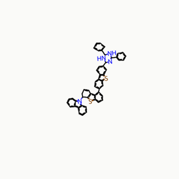 C1=Cc2c(sc3cccc(-c4ccc5c(c4)sc4cc(C6N=C(c7ccccc7)NC(c7ccccc7)N6)ccc45)c23)C(n2c3ccccc3c3ccccc32)C1